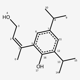 C/C(=C/CO)c1cc(C(C)C)cc(C(C)C)c1O